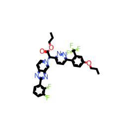 CCCOC(=O)C(c1ccc(-c2ccc(OCCC)cc2C(F)(F)F)nn1)n1ccc2nc(-c3cccc(F)c3F)nc-2c1